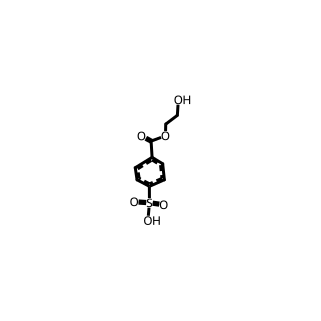 O=C(OCCO)c1ccc(S(=O)(=O)O)cc1